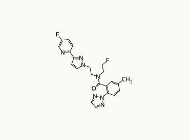 Cc1ccc(-n2nccn2)c(C(=O)N(CCF)CCn2ccc(-c3ccc(F)cn3)n2)c1